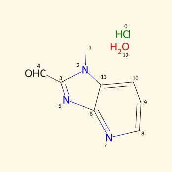 Cl.Cn1c(C=O)nc2ncccc21.O